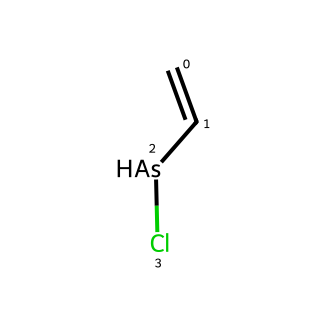 C=C[AsH]Cl